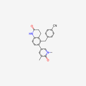 Cc1cc(-c2ccc3c(c2Cc2ccc(C#N)cc2)CCC(=O)N3)cn(C)c1=O